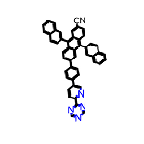 N#Cc1ccc2c(-c3ccc4ccccc4c3)c3cc(-c4ccc(-c5ccc(-c6ncncn6)nc5)cc4)ccc3c(-c3ccc4ccccc4c3)c2c1